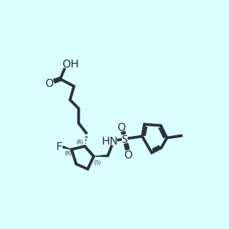 Cc1ccc(S(=O)(=O)NC[C@H]2CC[C@@H](F)[C@@H]2CCCCCC(=O)O)cc1